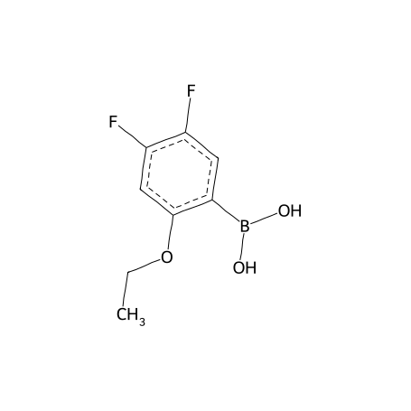 CCOc1cc(F)c(F)cc1B(O)O